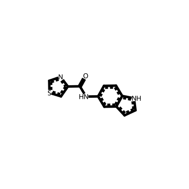 O=C(Nc1ccc2[nH]ccc2c1)c1cscn1